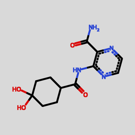 NC(=O)c1nccnc1NC(=O)C1CCC(O)(O)CC1